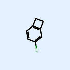 Clc1ccc2c(c1)CC2